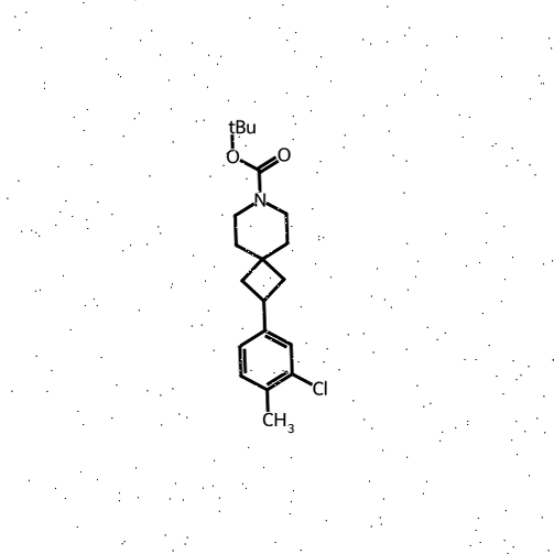 Cc1ccc(C2CC3(CCN(C(=O)OC(C)(C)C)CC3)C2)cc1Cl